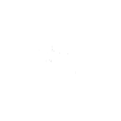 Cc1cc2[nH]c(=O)[nH]c2cc1F